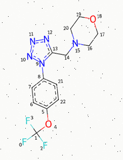 FC(F)(F)Oc1ccc(-n2nnnc2CN2CCOCC2)cc1